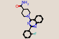 NC(=O)C1CCN(c2nc(-c3ccccc3F)nc3ccccc23)CC1